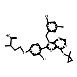 CC(CCOc1ccc(-c2nc3c(OC4(C)CC4)ncnc3n2Cc2cc(F)cc(Cl)c2)c(Cl)c1)C(=O)O